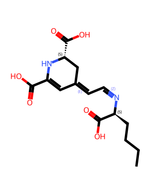 CCCC[C@H](/N=C\C=C1\C=C(C(=O)O)N[C@H](C(=O)O)C1)C(=O)O